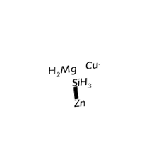 [Cu].[MgH2].[SiH3][Zn]